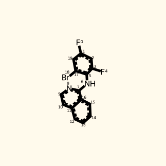 Fc1cc(F)c(Nc2nccc3ccccc23)c(Br)c1